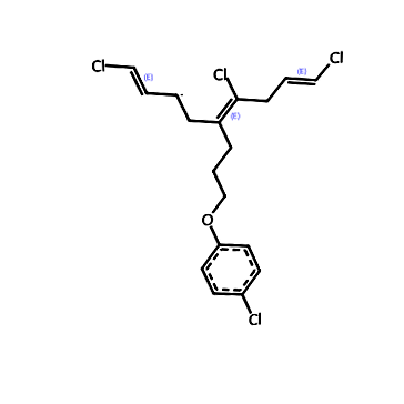 Cl/C=C/[CH]C/C(CCCOc1ccc(Cl)cc1)=C(\Cl)C/C=C/Cl